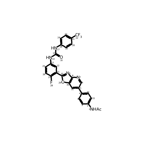 CC(=O)Nc1ccc(-c2cnc3nc(-c4cc(NC(=O)Nc5ccc(C(F)(F)F)cc5)ccc4F)oc3c2)cc1